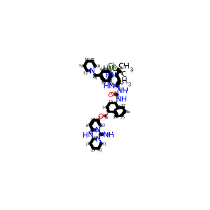 CC(C)(C)C(=N)/C=C(/NC(=O)N[C@H]1CC[C@@H](COc2ccc(=N)n(C(=N)N3CCCCC3)c2)c2ccccc21)Nc1cc(Cl)cc(CN2CCCCC2)c1